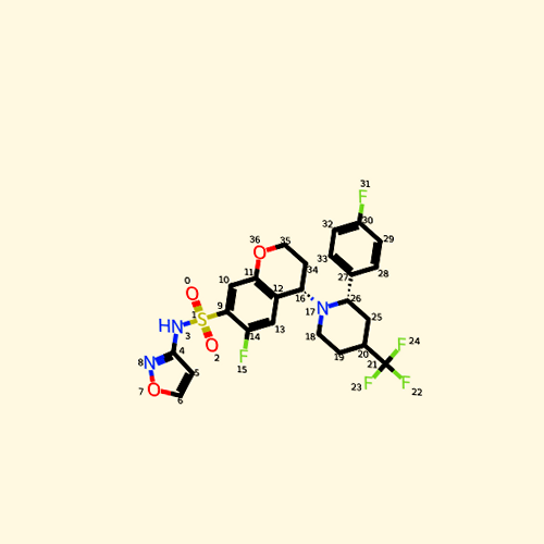 O=S(=O)(Nc1ccon1)c1cc2c(cc1F)[C@@H](N1CCC(C(F)(F)F)C[C@H]1c1ccc(F)cc1)CCO2